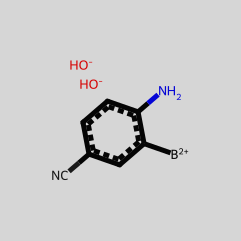 [B+2]c1cc(C#N)ccc1N.[OH-].[OH-]